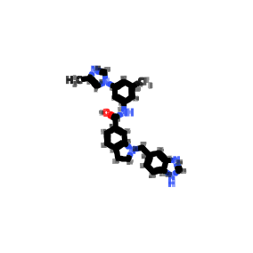 Cc1cn(-c2cc(NC(=O)c3ccc4c(c3)N(Cc3ccc5[nH]cnc5c3)CC4)cc(C(F)(F)F)c2)cn1